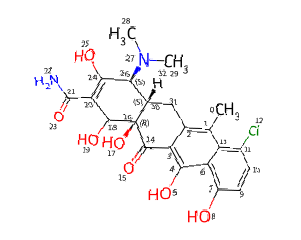 Cc1c2c(c(O)c3c(O)ccc(Cl)c13)C(=O)[C@]1(O)C(O)C(C(N)=O)=C(O)[C@@H](N(C)C)[C@@H]1C2